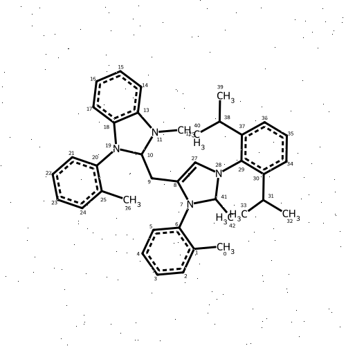 Cc1ccccc1N1C(CC2N(C)c3ccccc3N2c2ccccc2C)=CN(c2c(C(C)C)cccc2C(C)C)C1C